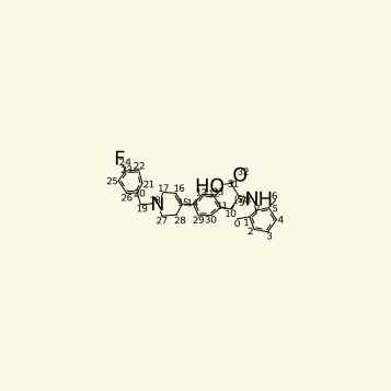 Cc1cccc(C)c1N[C@@H](Cc1ccc(C2=CCN(Cc3ccc(F)cc3)CC2)cc1)C(=O)O